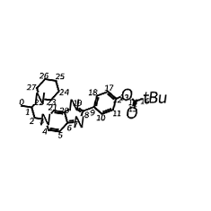 CC(Cn1ccc2nc(-c3ccc(OC(=O)C(C)(C)C)cc3)nc-2c1)N1CCCCC1